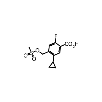 CS(=O)(=O)OCc1cc(F)c(C(=O)O)cc1C1CC1